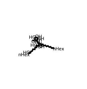 CCCCCC/C=C/CCCCCCCC(=O)NC(CO[C@@H]1O[C@H](CO)[C@@H](O)[C@H](O)[C@H]1O)C(O)C(O)CCCCCCCC(O)CCCCCC